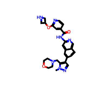 Cn1ncc(-c2ccc3cnc(NC(=O)c4ccnc(OC5CNC5)c4)cc3c2)c1CN1CCOCC1